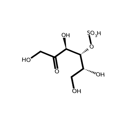 O=C(CO)[C@@H](O)[C@H](OS(=O)(=O)O)[C@H](O)CO